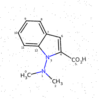 CN(C)n1c(C(=O)O)cc2ccccc21